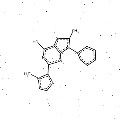 Cc1sc2c(O)nc(-c3nccn3C)nc2c1-c1ccccc1